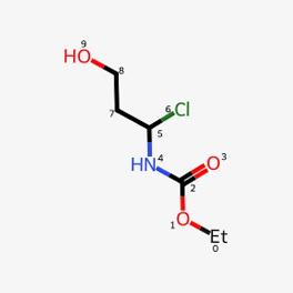 CCOC(=O)NC(Cl)CCO